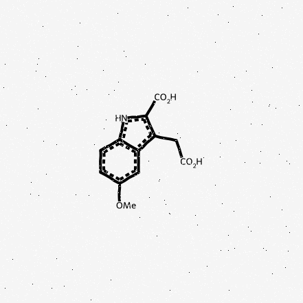 COc1ccc2[nH]c(C(=O)O)c(CC(=O)O)c2c1